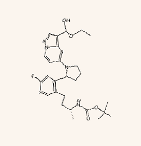 CCOC(O)c1cnn2ccc(N3CCCC3c3cc(F)ncc3CC[C@@H](C)NC(=O)OC(C)(C)C)nc12